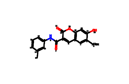 CCCCCCc1cc2cc(C(=O)Nc3cccc(C)c3)c(=O)oc2cc1O